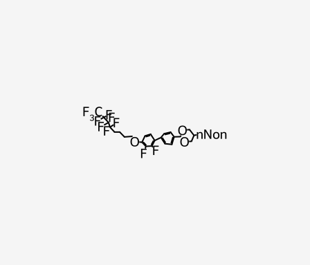 CCCCCCCCCC1COC(c2ccc(-c3ccc(OCCCCC(F)(F)C(F)(F)C(F)(F)C(F)(F)F)c(F)c3F)cc2)OC1